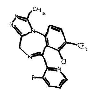 Cc1nnc2n1-c1ccc(C(F)(F)F)c(Cl)c1C(c1ncccc1F)=NC2